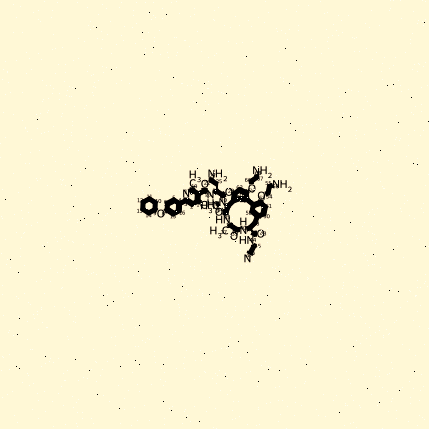 Cc1cc(-c2ccc(OC3CCCCC3)cc2)nc(C)c1C(=O)N[C@@H](CCN)C(=O)N(C)[C@@H]1C(=O)N[C@@H](C)C(=O)N[C@H](C(=O)NCC#N)Cc2ccc(OCCN)c(c2)-c2cc1ccc2OCCN